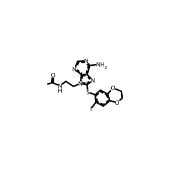 CC(=O)NCCn1c(Sc2cc3c(cc2I)OCCO3)nc2c(N)ncnc21